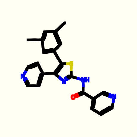 Cc1cc(C)cc(-c2sc(NC(=O)c3cccnc3)nc2-c2ccncc2)c1